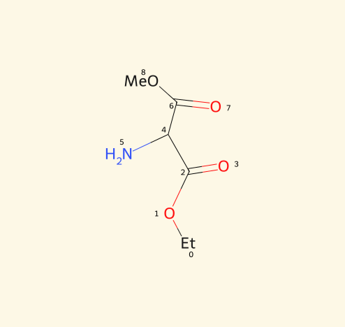 CCOC(=O)C(N)C(=O)OC